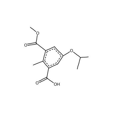 COC(=O)c1cc(OC(C)C)cc(C(=O)O)c1C